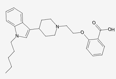 CCCCCn1cc(C2CCN(CCOc3ccccc3C(=O)O)CC2)c2ccccc21